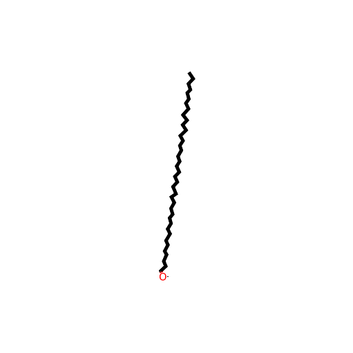 CCCCCCCCCCCCCCCCCCCCCCCCCCCCCCCCCCCCCCC[O]